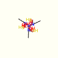 CCCCCCCCN(CC(O)CN(CC(O)CN(CCCCCCCC)C(=O)CC(C)OS)CC(O)CN(CCCCCCCC)C(=O)CC(C)OS)C(=O)CC(C)OS